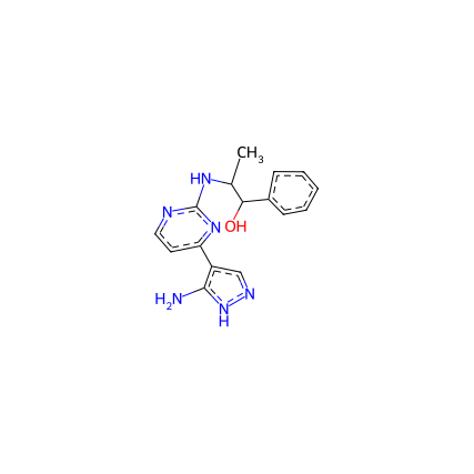 CC(Nc1nccc(-c2cn[nH]c2N)n1)C(O)c1ccccc1